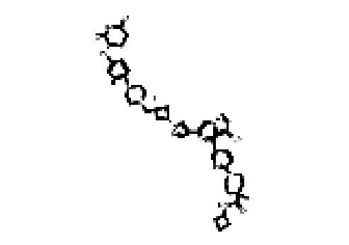 CCC1(C(=O)NC2CCC2)CCN(c2ccc(-c3nc(-c4cnn([C@H]5C[C@](F)(CN6CCN(c7ccc(N[C@H]8CCC(=O)NC8=O)cc7F)CC6)C5)c4)cn4ncc(C#N)c34)cn2)CC1